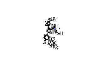 CC(=O)N1CCN(c2cc(-c3cc(-c4cnn(SC(C)C)c4)c(/C(N)=N\C=N)[nH]3)ccc2F)C(=O)C1(C)C